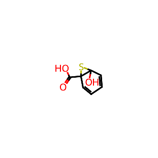 O=C(O)C12C=CC=CC1(O)S2